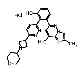 Cc1cn2nc(-c3cccc(O)c3-c3ccc(C4CN(C5CCOCC5)C4)nn3)cc(C)c2n1.Cl